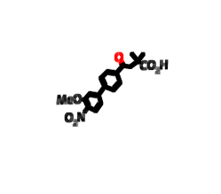 COc1cc(-c2ccc(C(=O)CC(C)(C)C(=O)O)cc2)ccc1[N+](=O)[O-]